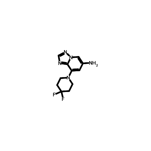 Nc1cc(N2CCC(F)(F)CC2)c2ncnn2c1